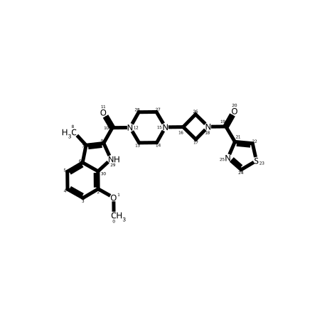 COc1cccc2c(C)c(C(=O)N3CCN(C4CN(C(=O)c5cscn5)C4)CC3)[nH]c12